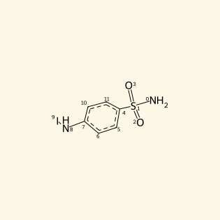 NS(=O)(=O)c1ccc(NI)cc1